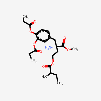 CCC(=O)Oc1ccc(C[C@](N)(CCOC(=O)C(C)CC)C(=O)OC)cc1OC(=O)CC